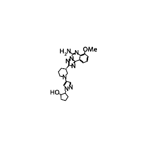 COc1cccc2c1nc(N)n1nc([C@@H]3CCCN(c4cnn(C5CCCC5O)c4)C3)nc21